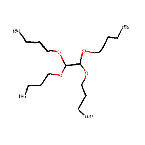 CC(C)(C)CCCOC(OCCCC(C)(C)C)C(OCCCC(C)(C)C)OCCCC(C)(C)C